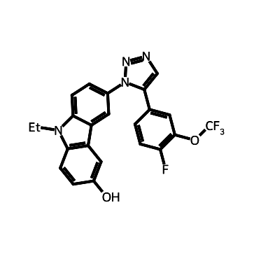 CCn1c2ccc(O)cc2c2cc(-n3nncc3-c3ccc(F)c(OC(F)(F)F)c3)ccc21